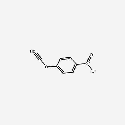 C#COc1ccc([N+](=O)[O-])cc1